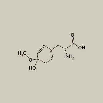 COC1(O)C=CC(CC(N)C(=O)O)=CC1